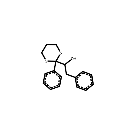 OC(Cc1ccccc1)C1(c2ccccc2)SCCCS1